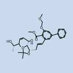 COCOc1cc(-c2ccccc2)cc(/C=C/C[C@@H]2OC(C)(C)O[C@@H]2C(O)/C=C\C(C)[C@H](C)O)c1C(=O)OC